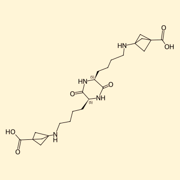 O=C1N[C@@H](CCCCNC23CC(C(=O)O)(C2)C3)C(=O)N[C@H]1CCCCNC12CC(C(=O)O)(C1)C2